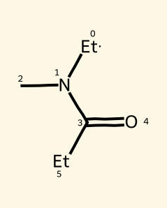 C[CH]N(C)C(=O)CC